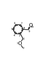 COCc1ccccc1C=O